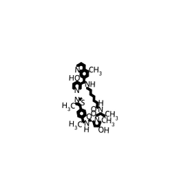 Cc1ncsc1-c1ccc(C(C)NC(=O)[C@@H]2C[C@@H](O)CN2C(=O)C(NC(=O)CCCCCCNC(c2cccnc2)c2cc(C)c3cccnc3c2O)C(C)C)cc1